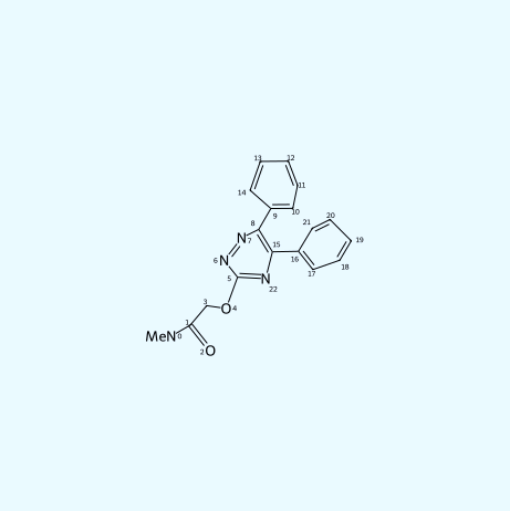 CNC(=O)COc1nnc(-c2ccccc2)c(-c2ccccc2)n1